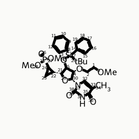 COCCO[C@H]1C(O[Si](c2ccccc2)(c2ccccc2)C(C)(C)C)[C@@H](C2CC2P(=O)(OC)OC)O[C@H]1n1cc(C)c(=O)[nH]c1=O